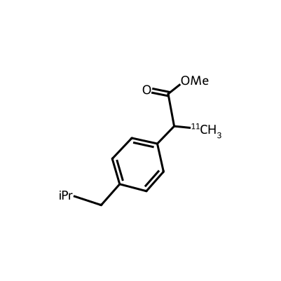 COC(=O)C([11CH3])c1ccc(CC(C)C)cc1